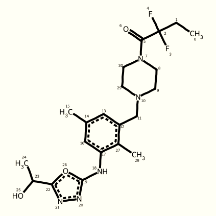 CCC(F)(F)C(=O)N1CCN(Cc2cc(C)cc(Nc3nnc(C(C)O)o3)c2C)CC1